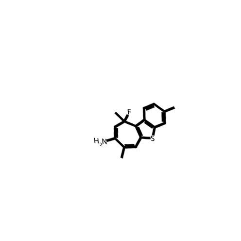 CC1=Cc2sc3cc(C)ccc3c2C(C)(F)C=C1N